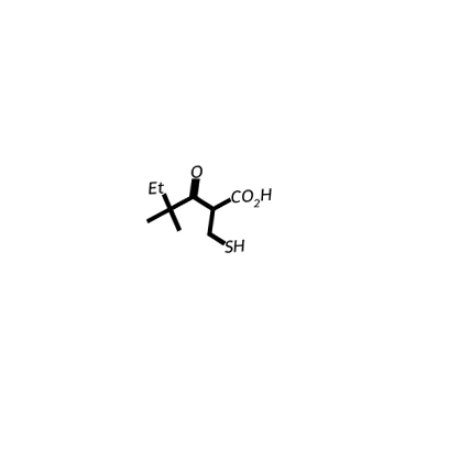 CCC(C)(C)C(=O)C(CS)C(=O)O